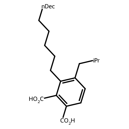 CCCCCCCCCCCCCCCc1c(CC(C)C)ccc(C(=O)O)c1C(=O)O